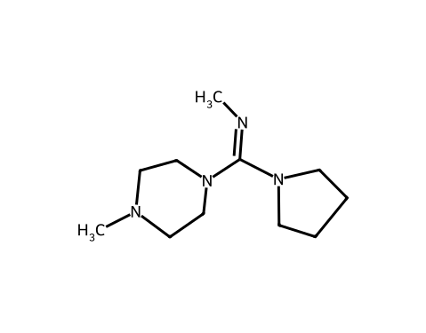 C/N=C(/N1CCCC1)N1CCN(C)CC1